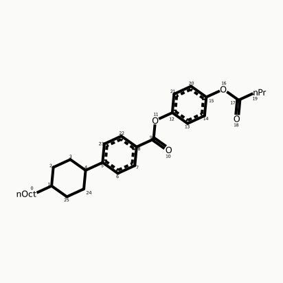 CCCCCCCCC1CCC(c2ccc(C(=O)Oc3ccc(OC(=O)CCC)cc3)cc2)CC1